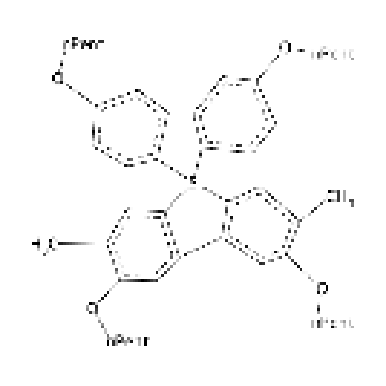 CCCCCOc1ccc([Si]2(c3ccc(OCCCCC)cc3)c3cc(C)c(OCCCCC)cc3-c3cc(OCCCCC)c(C)cc32)cc1